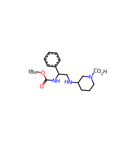 CC(C)(C)OC(=O)NC(CNC1CCCN(C(=O)O)C1)c1ccccc1